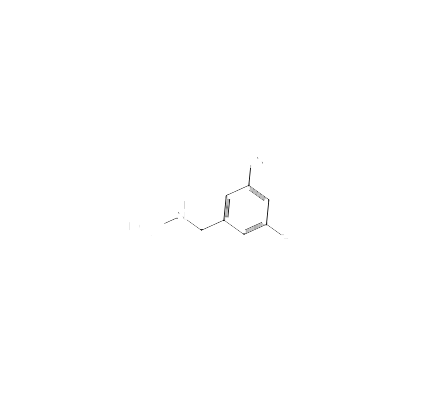 N#Cc1cc(Br)cc(CNC(=O)O)c1